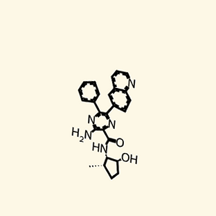 C[C@H]1CC[C@H](O)[C@H]1NC(=O)c1nc(-c2ccc3ncccc3c2)c(-c2ccccc2)nc1N